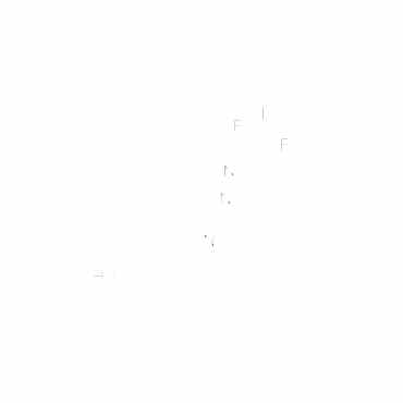 CS(=O)(=O)c1ccc(-n2nc(C(F)(F)F)c3c2-c2ccccc2OC3)nc1